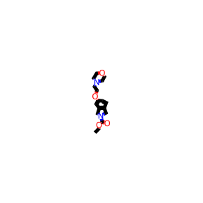 CCOC(=O)N1Cc2ccc(OCCN3CCOCC3)cc2C1